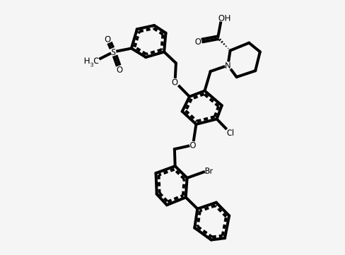 CS(=O)(=O)c1cccc(COc2cc(OCc3cccc(-c4ccccc4)c3Br)c(Cl)cc2CN2CCCC[C@H]2C(=O)O)c1